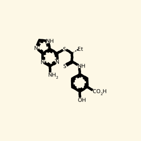 CC[C@@H](Sc1nc(N)nc2nc[nH]c12)C(=S)Nc1ccc(O)c(C(=O)O)c1